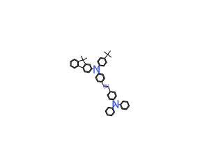 CC(C)(C)c1ccc(N(c2ccc(/C=C/c3ccc(N(c4ccccc4)c4ccccc4)cc3)cc2)c2ccc3c(c2)C(C)(C)c2ccccc2-3)cc1